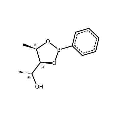 C[C@@H](O)[C@@H]1OB(c2ccccc2)O[C@@H]1C